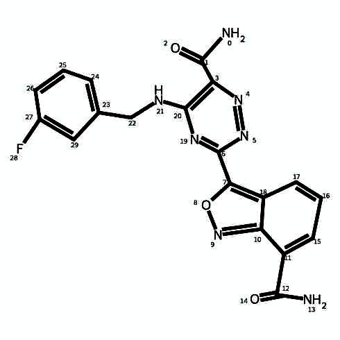 NC(=O)c1nnc(-c2onc3c(C(N)=O)cccc23)nc1NCc1cccc(F)c1